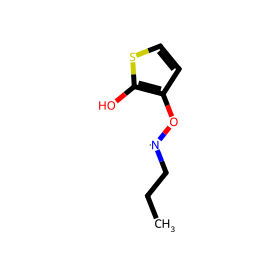 CCC[N]Oc1ccsc1O